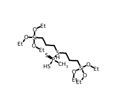 CCO[Si](CCC[SH](CCC[Si](OCC)(OCC)OCC)P(C)(=S)S)(OCC)OCC